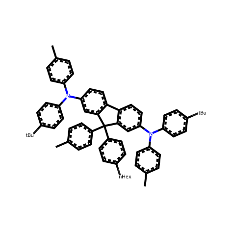 CCCCCCc1ccc(C2(c3ccc(C)cc3)c3cc(N(c4ccc(C)cc4)c4ccc(C(C)(C)C)cc4)ccc3-c3ccc(N(c4ccc(C)cc4)c4ccc(C(C)(C)C)cc4)cc32)cc1